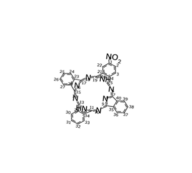 O=[N+]([O-])c1ccc2c3nc4nc(nc5[nH]c(nc6nc(nc([nH]3)c2c1)-c1ccccc1-6)c1ccccc51)-c1ccccc1-4